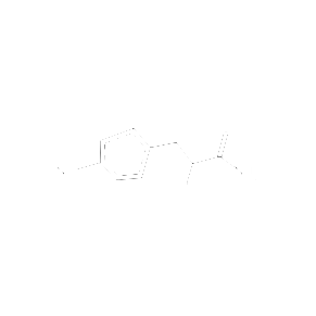 N#Cc1ccc(CC(Cl)C(N)=O)cc1